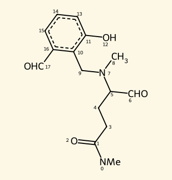 CNC(=O)CCC(C=O)N(C)Cc1c(O)cccc1C=O